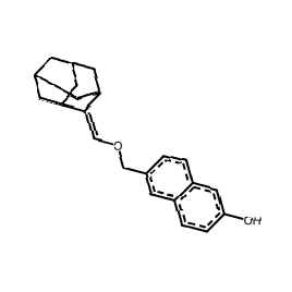 Oc1ccc2cc(COC=C3C4CC5CC(C4)CC3C5)ccc2c1